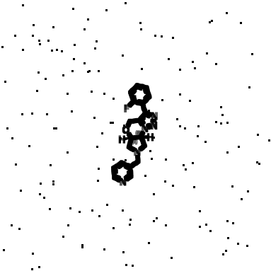 Fc1ccccc1-c1nnn2c1CO[C@@H]1CN(Cc3cccnc3)C[C@H]12